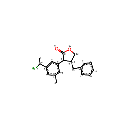 Cc1cc(C(C)Br)cc(C2C(=O)OC[C@H]2Cc2ccccc2)c1